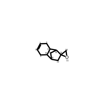 C1=CCC2C(C1)C1CC2C2(CO2)C1